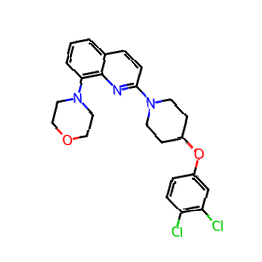 Clc1ccc(OC2CCN(c3ccc4cccc(N5CCOCC5)c4n3)CC2)cc1Cl